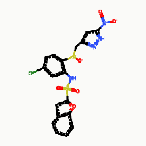 O=[N+]([O-])c1cc(C[S+]([O-])c2ccc(Cl)cc2NS(=O)(=O)c2cc3ccccc3o2)n[nH]1